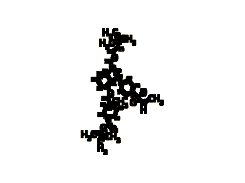 CNS(=O)(=O)c1ccc(-c2nn(COCC[Si](C)(C)C)c3nccc(OCC4(C)CCN(C(=O)OC(C)(C)C)CC4)c23)cc1